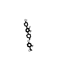 CCC1CCC(c2ccc(C3CCC(COc4ccc(C5CO5)c(F)c4)CC3)c(F)c2F)CC1